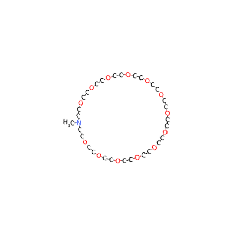 CN1CCOCCOCCOCCOCCOCCOCCOCCOCCOCCOCCOCCOCCOCC1